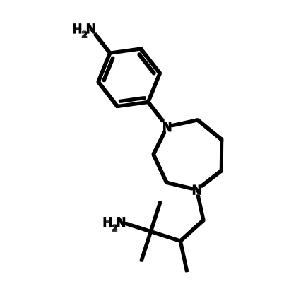 CC(CN1CCCN(c2ccc(N)cc2)CC1)C(C)(C)N